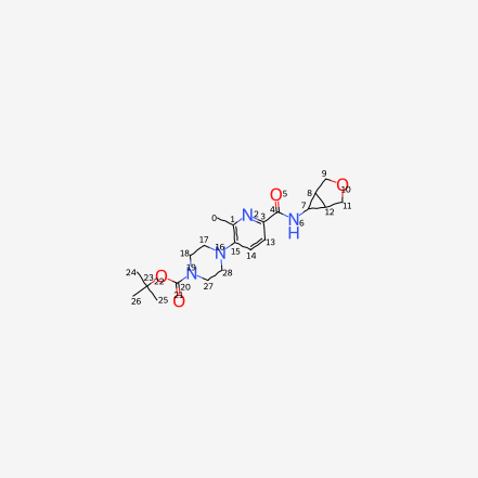 Cc1nc(C(=O)NC2C3COCC32)ccc1N1CCN(C(=O)OC(C)(C)C)CC1